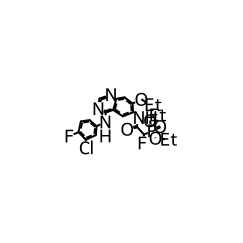 CCOc1cc2ncnc(Nc3ccc(F)c(Cl)c3)c2cc1NC(=O)C(F)P(=O)(OCC)OCC